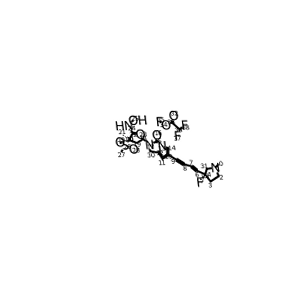 CN1CC[C@](F)(C#CC#Cc2cc3n(c2)C(=O)N(CC[C@](C)(C(=O)NO)S(C)(=O)=O)C3)C1.O=C(OF)C(F)F